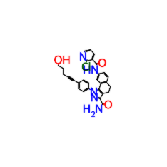 NC(=O)c1nn(-c2ccc(C#CCCCO)cc2)c2c1CCc1ccc(NC(=O)c3cccnc3Cl)cc1-2